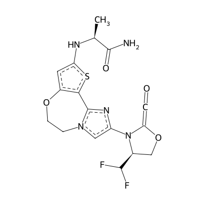 C[C@H](Nc1cc2c(s1)-c1nc(N3C(=C=O)OC[C@H]3C(F)F)cn1CCO2)C(N)=O